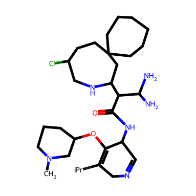 CC(C)C1=C(OC2CCCN(C)C2)C(NC(=O)C(C(N)N)C2CC3(CCCCCC3)CCC(Cl)CN2)C=NC1